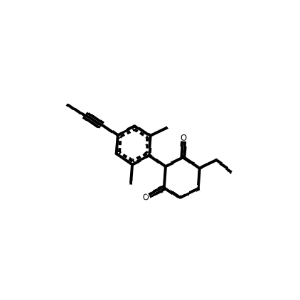 CC#Cc1cc(C)c(C2C(=O)CCC(CC)C2=O)c(C)c1